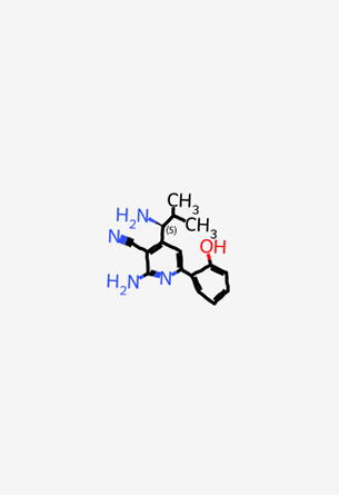 CC(C)[C@H](N)c1cc(-c2ccccc2O)nc(N)c1C#N